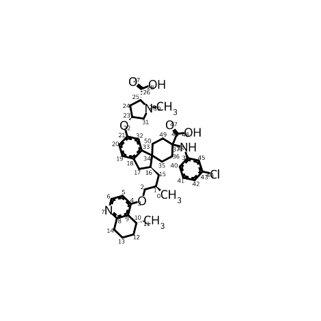 C[C@@H](COc1ccnc2c1[C@H](C)CCC2)C[C@H]1Cc2ccc(O[C@@H]3C[C@H](C(=O)O)N(C)C3)cc2C12CCC(Nc1cccc(Cl)c1)(C(=O)O)CC2